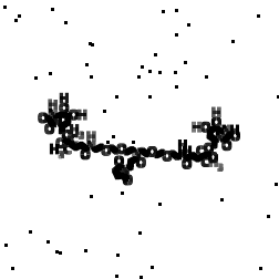 CC(C)(CCC(=O)NCCOCCOCCN(CCOCCOCCNC(=O)CCC(C)(C)C(=O)OCC1CC(O)C(O)C2NC(=O)C(=O)N12)C(=O)CCN1C(=O)C=CC1=O)C(=O)OCC1CC(O)C(O)C2NC(=O)C(=O)N12